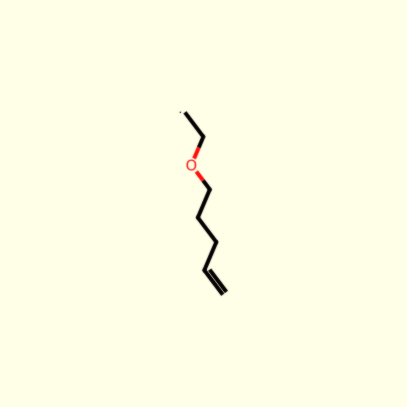 [CH2]COCCCC=C